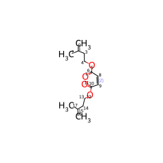 CC(C)CCOC(=O)/C=C\C(=O)OCCC(C)C